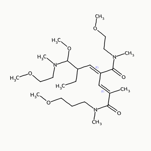 CCC(/C=C(\C=C(/C)C(=O)N(C)CCCOC)C(=O)N(C)CCOC)C(OC)N(C)CCOC